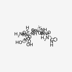 CC(C)(C)[C@H](NC(=O)CNC(=O)[C@@H](N)Cc1c[nH]c2ccccc12)C(=O)NCC(=O)N[C@@H](CS)C(=O)N[C@@H](CC(N)=O)C(=O)N1C[C@H](O)C[C@H]1C(=O)O